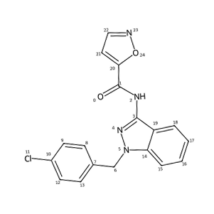 O=C(Nc1nn(Cc2ccc(Cl)cc2)c2ccccc12)c1ccno1